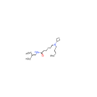 CCCCCCCCC(CCCCCCCC)CNC(=O)CCCCCN(CCCC=O)C1CCC1